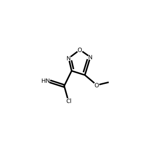 COc1nonc1C(=N)Cl